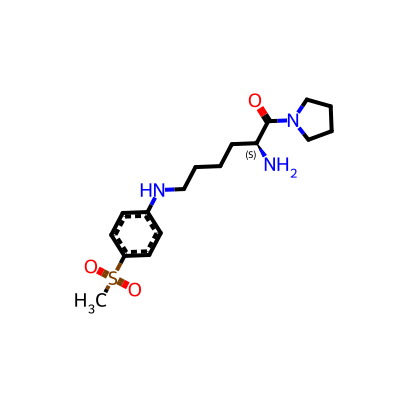 CS(=O)(=O)c1ccc(NCCCC[C@H](N)C(=O)N2CCCC2)cc1